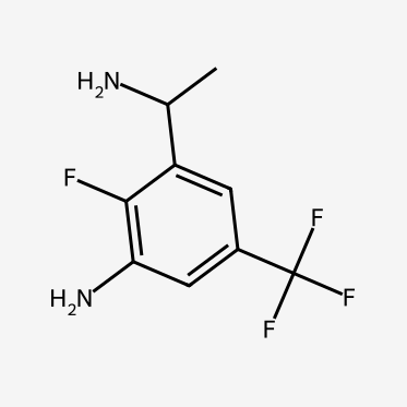 CC(N)c1cc(C(F)(F)F)cc(N)c1F